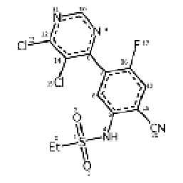 CCS(=O)(=O)Nc1cc(-c2ncnc(Cl)c2Cl)c(F)cc1C#N